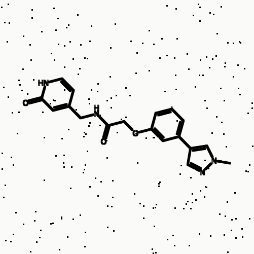 Cn1cc(-c2c[c]cc(OCC(=O)NCc3cc[nH]c(=O)c3)c2)cn1